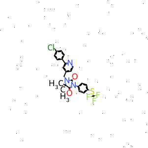 CC1(C)C(=O)N(c2ccc(SC(F)(F)F)cc2)C(=O)N1Cc1ccnc(-c2ccc(Cl)cc2)c1